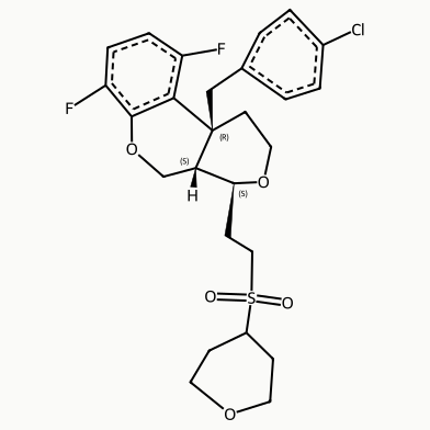 O=S(=O)(CC[C@@H]1OCC[C@@]2(Cc3ccc(Cl)cc3)c3c(F)ccc(F)c3OC[C@@H]12)C1CCOCC1